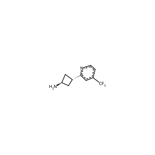 N[C@H]1C[C@H](c2cc(C(F)(F)F)ccn2)C1